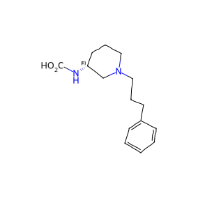 O=C(O)N[C@@H]1CCCN(CCCc2ccccc2)C1